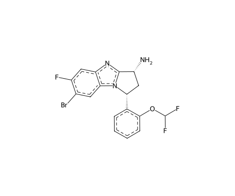 N[C@@H]1C[C@H](c2ccccc2OC(F)F)n2c1nc1cc(F)c(Br)cc12